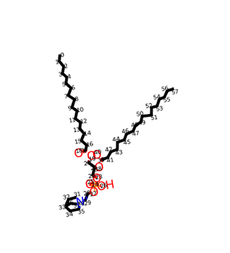 CCCCCCCCCCCCCCCCCC(=O)OCC(COP(=O)(O)OCC[N+]12CCC(CC1)CC2)OC(=O)CCCCCCCCCCCCCCCCC